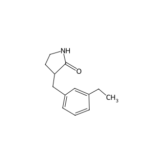 CCc1cccc(CC2CCNC2=O)c1